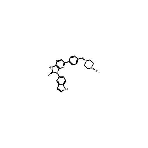 CN1CCN(Cc2ccc(-c3cnc4[nH]c(=O)n(-c5ccc6[nH]ccc6c5)c4n3)cc2)CC1